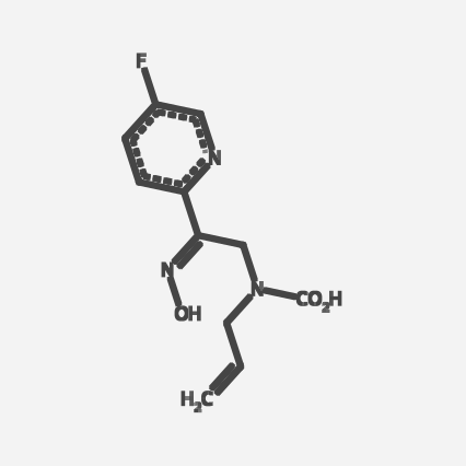 C=CCN(C/C(=N\O)c1ccc(F)cn1)C(=O)O